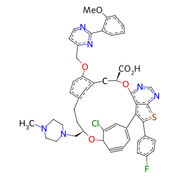 COc1ccccc1-c1nccc(COc2ccc3cc2C[C@@H](C(=O)O)Oc2ncnc4sc(-c5ccc(F)cc5)c(c24)C2=CC#CC(O[C@@H](CN4CCN(C)CC4)CC3)C(Cl)=C2)n1